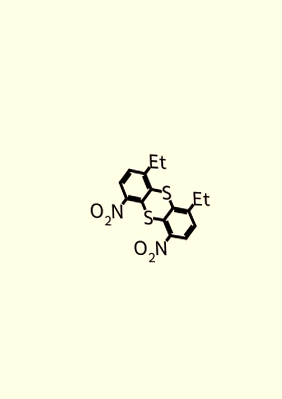 CCc1ccc([N+](=O)[O-])c2c1Sc1c(CC)ccc([N+](=O)[O-])c1S2